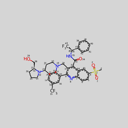 CS(=O)(=O)c1ccc2nc(-c3cccc(C(F)(F)F)c3)c(CN3CCC(N4CCC[C@H]4CO)CC3)c(C(=O)N[C@H](c3ccccc3)C(F)(F)F)c2c1